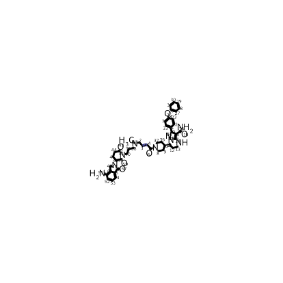 CN(C/C=C/C(=O)N1CCC([C@@H]2CCNc3c(C(N)=O)c(-c4ccc(Oc5ccccc5)cc4)nn32)CC1)CCCN1C(=O)CCC(N2Cc3c(N)cccc3C2=O)C1=O